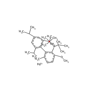 COc1ccc(C)c(-c2c(C(C)C)cc(C(C)C)cc2C(C)C)c1P(C(C)(C)C)C(C)(C)C.[Pd+2]